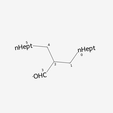 CCCCCCCCC([C]=O)CCCCCCCC